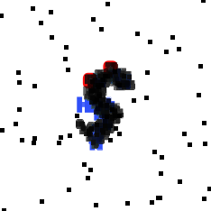 CCc1cnn(C2(CC#N)CN(c3cccn4nc(Nc5ccc(C(=O)N6CC(C(=O)N7CCN(C)CC7)C6)cc5)nc34)C2)c1